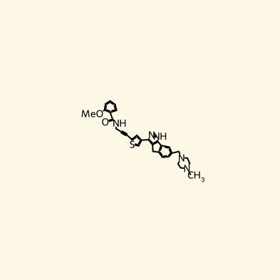 COc1ccccc1C(=O)NCC#Cc1cc(-c2n[nH]c3c2Cc2ccc(CN4CCN(C)CC4)cc2-3)cs1